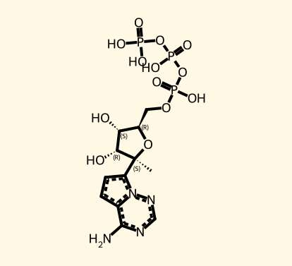 C[C@@]1(c2ccc3c(N)ncnn23)O[C@H](COP(=O)(O)OP(=O)(O)OP(=O)(O)O)[C@@H](O)[C@H]1O